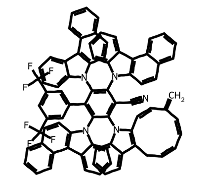 C=C1/C=C\C=C/Cc2c(n(-c3c(C#N)c(-n4c5ccccc5c5c6ccccc6ccc54)c(-n4c5ccccc5c5c6ccccc6ccc54)c(-c4cc(C(F)(F)F)cc(C(F)(F)F)c4)c3-n3c4ccccc4c4c5ccccc5ccc43)c3ccccc23)/C=C\1